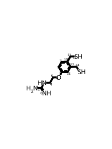 N=C(N)NCCOc1ccc(CS)c(CS)c1